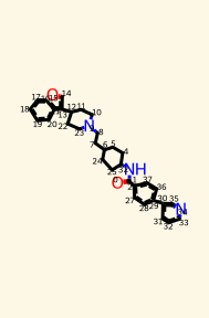 O=C(NC1CCC(CCN2CCC(c3coc4ccccc34)CC2)CC1)c1ccc(-c2cccnc2)cc1